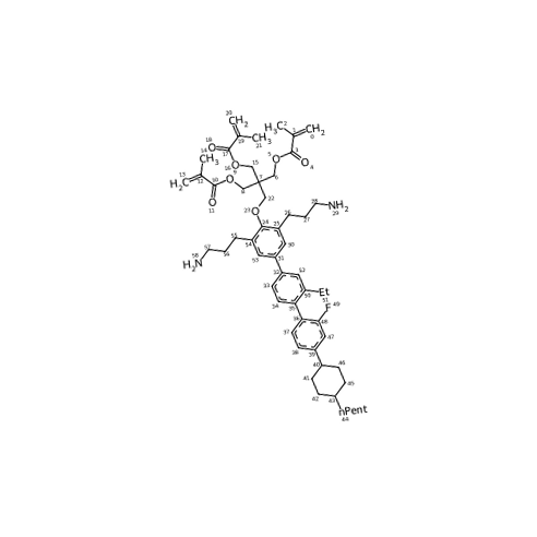 C=C(C)C(=O)OCC(COC(=O)C(=C)C)(COC(=O)C(=C)C)COc1c(CCCN)cc(-c2ccc(-c3ccc(C4CCC(CCCCC)CC4)cc3F)c(CC)c2)cc1CCCN